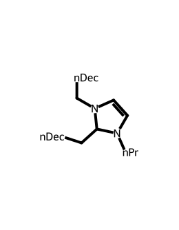 CCCCCCCCCCCC1N(CCC)C=CN1CCCCCCCCCCC